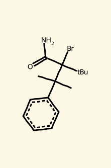 CC(C)(C)C(Br)(C(N)=O)C(C)(C)c1ccccc1